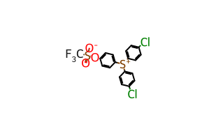 Clc1ccc([S+](c2ccccc2)c2ccc(Cl)cc2)cc1.O=S(=O)([O-])C(F)(F)F